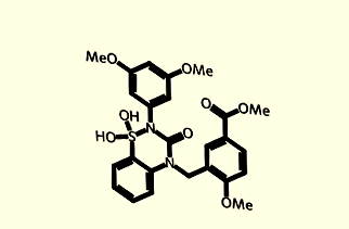 COC(=O)c1ccc(OC)c(CN2C(=O)N(c3cc(OC)cc(OC)c3)S(O)(O)c3ccccc32)c1